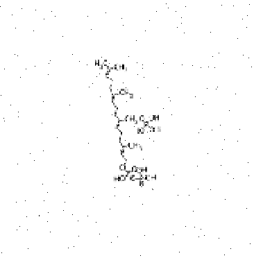 CC(C)=CCC/C(C)=C/CC/C(C)=C/CC/C(C)=C/COP(=O)(O)OP(=O)(O)O.O=P(O)(O)O